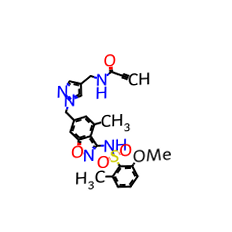 C#CC(=O)NCc1cnn(Cc2cc(C)c3c(NS(=O)(=O)c4c(C)cccc4OC)noc3c2)c1